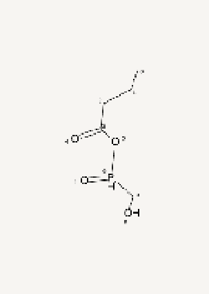 CCCC(=O)O[PH](=O)CO